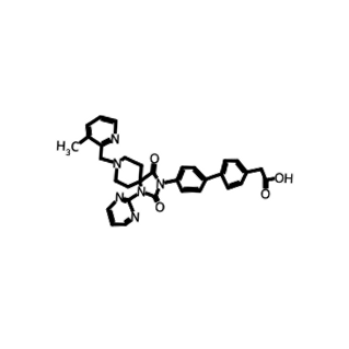 Cc1cccnc1CN1CCC2(CC1)C(=O)N(c1ccc(-c3ccc(CC(=O)O)cc3)cc1)C(=O)N2c1ncccn1